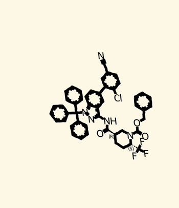 N#Cc1ccc(Cl)c(-c2ccc3c(c2)c(NC(=O)[C@@H]2CC[C@@H](C(F)(F)F)N(C(=O)OCc4ccccc4)C2)nn3C(c2ccccc2)(c2ccccc2)c2ccccc2)c1